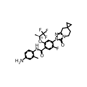 Cc1cc(N)ccc1NC(=O)c1cc(F)c(-n2nc3n(c2=O)CCC2(CC2)C3)cc1O[C@@H](C)C(F)(F)F